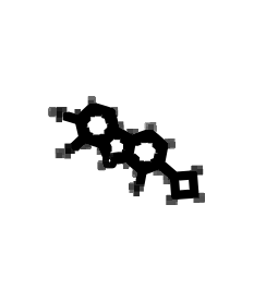 Fc1ccc2c(oc3c(F)c(C4CCC4)ccc32)c1F